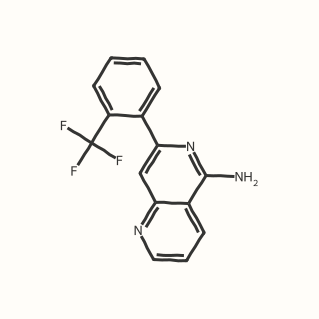 Nc1nc(-c2ccccc2C(F)(F)F)cc2ncccc12